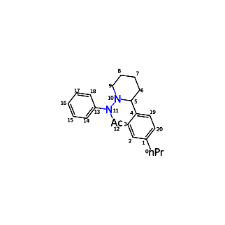 CCCc1ccc(C2CCCCN2N(C(C)=O)c2ccccc2)cc1